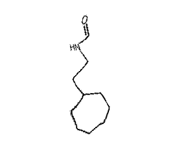 O=CNCCC1CCCCCC1